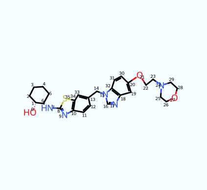 O[C@@H]1CCCC[C@H]1Nc1nc2ccc(Cn3cnc4cc(OCCN5CCOCC5)ccc43)cc2s1